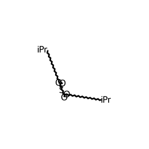 CC(C)CCCCCCCCCCCCCCCCCOC(=O)CCSCCC(=O)OCCCCCCCCCCCCCCCCCC(C)C